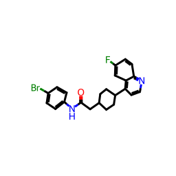 O=C(CC1CCC(c2ccnc3ccc(F)cc23)CC1)Nc1ccc(Br)cc1